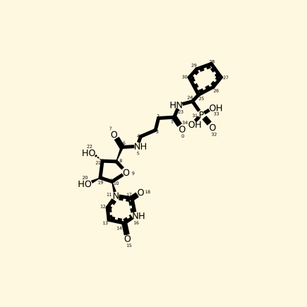 O=C(CCCNC(=O)[C@H]1O[C@@H](n2ccc(=O)[nH]c2=O)[C@@H](O)[C@@H]1O)NC(c1ccccc1)P(=O)(O)O